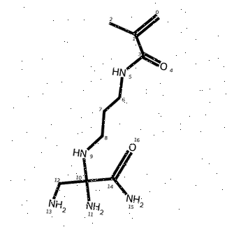 C=C(C)C(=O)NCCCNC(N)(CN)C(N)=O